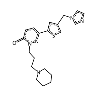 O=c1ccc(-c2cc(Cn3ccnc3)cs2)nn1CCCN1CCCCC1